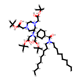 CCCCCCCCCCN(CCCCCCCCCC)C(=O)[C@H]1CC[C@H](C2(N(CC(=O)OC(C)(C)C)CC(=O)OC(C)(C)C)CN(CC(=O)OC(C)(C)C)CCN(CC(=O)OC(C)(C)C)C2)CC1